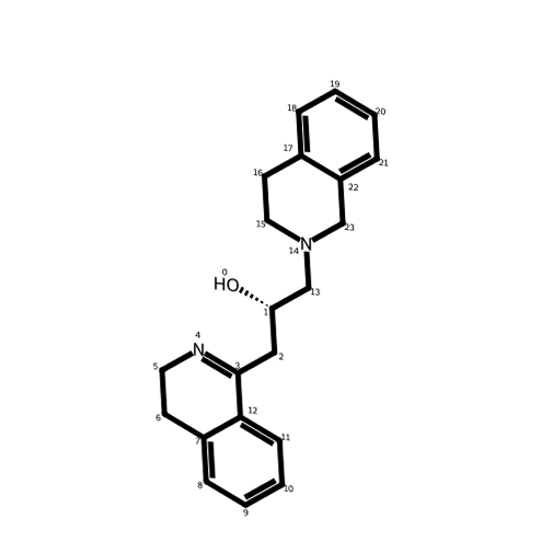 O[C@@H](CC1=NCCc2ccccc21)CN1CCc2ccccc2C1